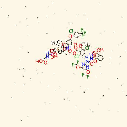 CCOc1cc(Oc2ccc(C(F)(F)F)cc2Cl)ccc1[N+](=O)[O-].COc1c(Cl)ccc(Cl)c1C(=O)O.C[S+](C)C.O=C(Nc1nc(OC(F)F)cc(OC(F)F)n1)NS(=O)(=O)c1ccccc1C(=O)O.O=C(O)CNCP(=O)([O-])O